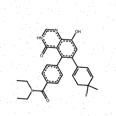 CCN(CC)C(=O)c1ccc(-c2c(C3=CCC(C)(F)C=C3)cc(O)c3nc[nH]c(=O)c23)cc1